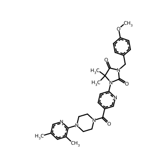 COc1ccc(CN2C(=O)N(c3ccc(C(=O)N4CCN(c5ncc(C)cc5C)CC4)cn3)C(C)(C)C2=O)cc1